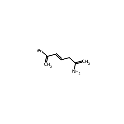 C=C(N)C/C=C/C(=C)C(C)C